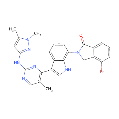 Cc1cnc(Nc2cc(C)n(C)n2)nc1-c1c[nH]c2c(N3Cc4c(Br)cccc4C3=O)cccc12